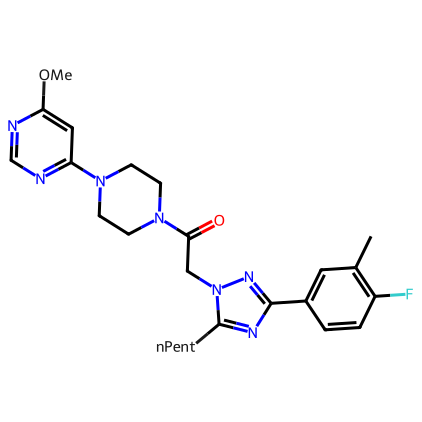 CCCCCc1nc(-c2ccc(F)c(C)c2)nn1CC(=O)N1CCN(c2cc(OC)ncn2)CC1